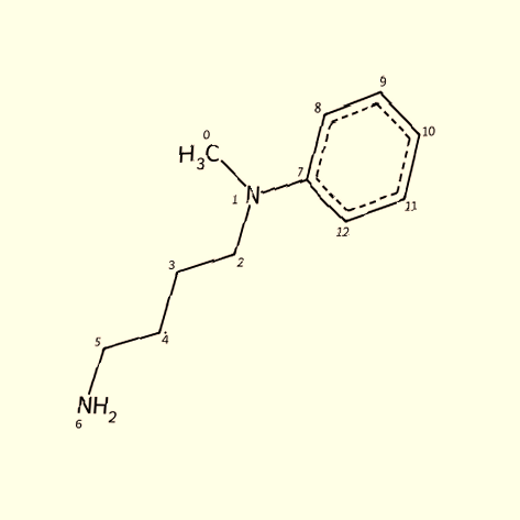 CN(CC[CH]CN)c1ccccc1